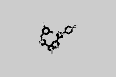 Fc1cc(F)cc(Cn2cc(-c3c[nH]c4ncc(-c5cnn(C6CCN(Cl)CC6)c5)cc34)cn2)c1